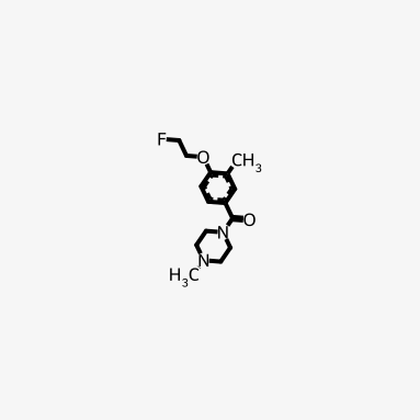 Cc1cc(C(=O)N2CCN(C)CC2)ccc1OCCF